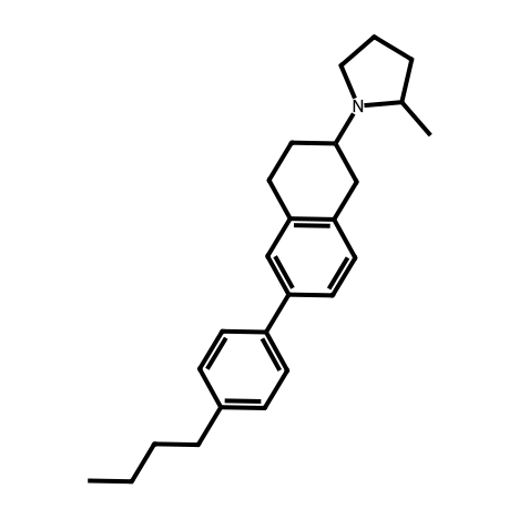 CCCCc1ccc(-c2ccc3c(c2)CCC(N2CCCC2C)C3)cc1